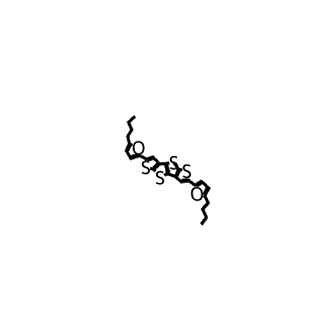 CCCCc1ccc(-c2cc3c(s2)sc2c4cc(-c5ccc(CCCC)o5)sc4sc32)o1